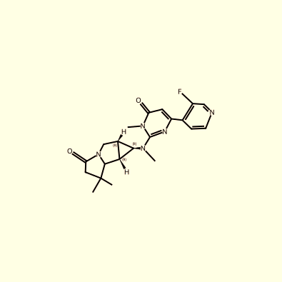 CN(c1nc(-c2ccncc2F)cc(=O)n1C)[C@@H]1[C@H]2CN3C(=O)CC(C)(C)C3[C@H]21